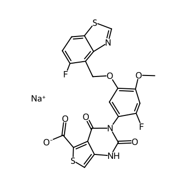 COc1cc(F)c(-n2c(=O)[nH]c3csc(C(=O)[O-])c3c2=O)cc1OCc1c(F)ccc2scnc12.[Na+]